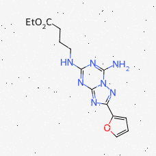 CCOC(=O)CCCNc1nc(N)n2nc(-c3ccco3)nc2n1